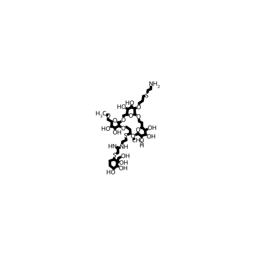 COCC1OC(OCC2OC(OCCC3OC(OC)C(O)C(O)C3O)C(OCCCSCCN)C(O)C2O)C(OCCCSCCNC(=N)CSC2CCC(O)C(O)C2(O)CO)C(O)C1O